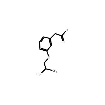 CC(C)COc1cccc(CC([O])=O)c1